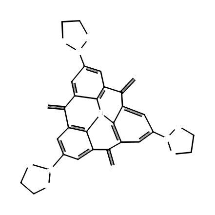 O=c1c2cc(B3OCCO3)cc3c(=O)c4cc(B5OCCO5)cc5c(=O)c6cc(B7OCCO7)cc1c6n(c23)c45